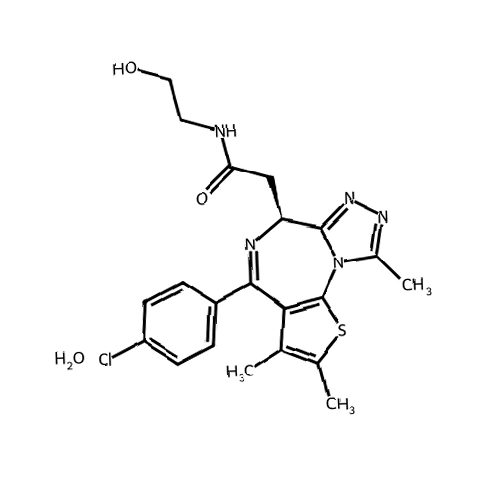 Cc1sc2c(c1C)C(c1ccc(Cl)cc1)=N[C@@H](CC(=O)NCCO)c1nnc(C)n1-2.O